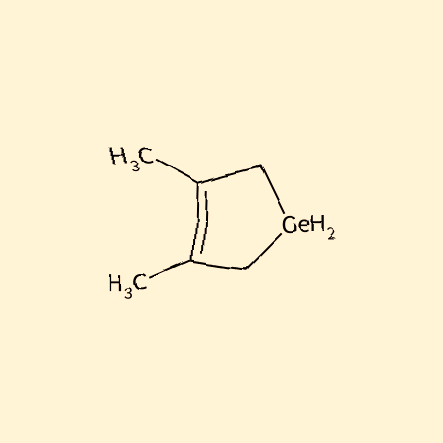 CC1=C(C)[CH2][GeH2][CH2]1